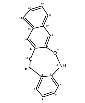 c1ccc2c(c1)NOc1cc3ccccc3cc1CS2